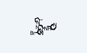 C[C@@H]1CCCN1c1cc(NCc2cccnc2)n2ncc(Br)c2n1